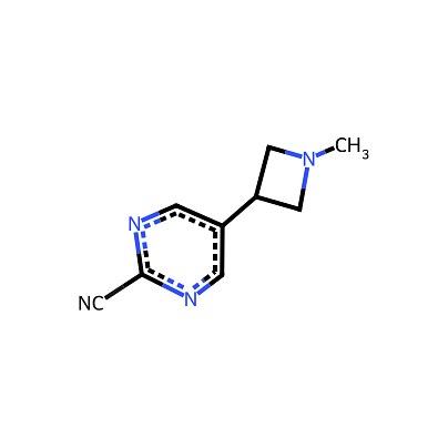 CN1CC(c2cnc(C#N)nc2)C1